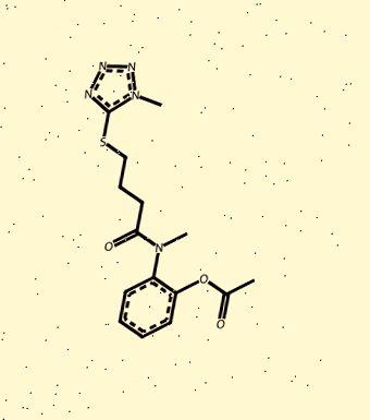 CC(=O)Oc1ccccc1N(C)C(=O)CCCSc1nnnn1C